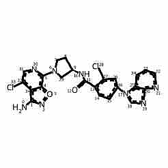 Nc1noc2c(N3CC[C@@H](NC(=O)c4ccc(-n5cnc6ncccc65)cc4Cl)C3)ncc(Cl)c12